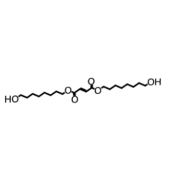 O=C(/C=C/C(=O)OCCCCCCCCO)OCCCCCCCCO